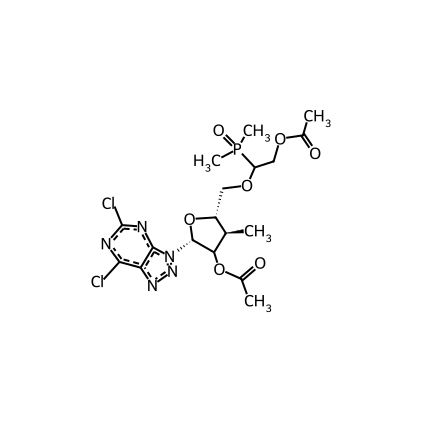 CC(=O)OCC(OC[C@H]1O[C@@H](n2nnc3c(Cl)nc(Cl)nc32)C(OC(C)=O)[C@@H]1C)P(C)(C)=O